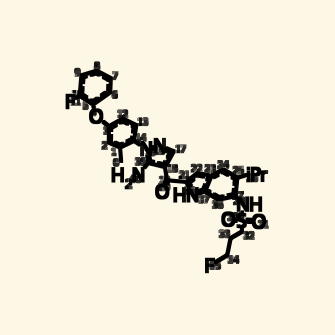 Cc1cc(Oc2ccccc2F)ccc1-n1ncc(C(=O)c2cc3cc(C(C)C)c(NS(=O)(=O)CCCF)cc3[nH]2)c1N